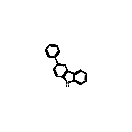 [c]1cc(-c2ccccc2)cc2c1[nH]c1ccccc12